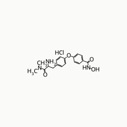 CN(C)C(=O)C(N)Cc1ccc(Oc2ccc(C(=O)NO)cc2)cc1.Cl